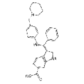 O=C(O)c1ccc2c(c1)NCC2=C(Nc1ccc(CN2CCCCC2)cc1)c1ccccc1